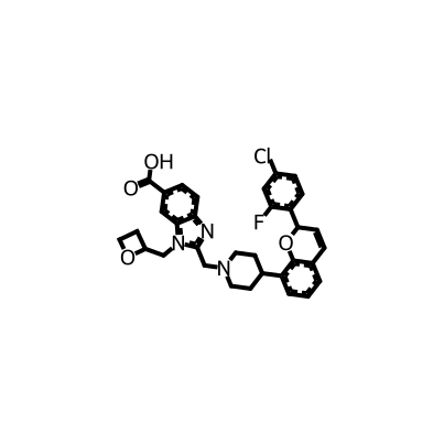 O=C(O)c1ccc2nc(CN3CCC(c4cccc5c4OC(c4ccc(Cl)cc4F)C=C5)CC3)n(CC3CCO3)c2c1